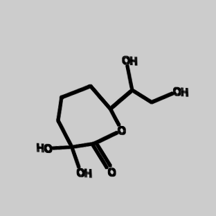 O=C1OC(C(O)CO)CCCC1(O)O